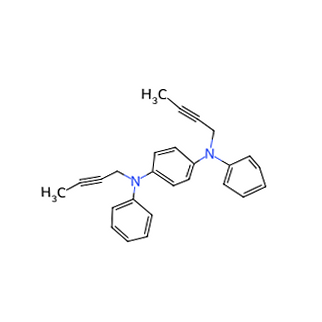 CC#CCN(c1ccccc1)c1ccc(N(CC#CC)c2ccccc2)cc1